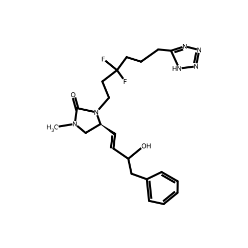 CN1C[C@H](/C=C/C(O)Cc2ccccc2)N(CCC(F)(F)CCCc2nnn[nH]2)C1=O